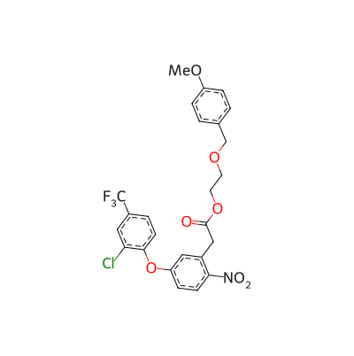 COc1ccc(COCCOC(=O)Cc2cc(Oc3ccc(C(F)(F)F)cc3Cl)ccc2[N+](=O)[O-])cc1